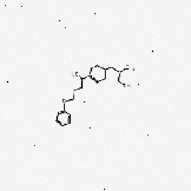 CCC(C)CC1CC=C(C(C)CCCOc2ccccc2)CC1